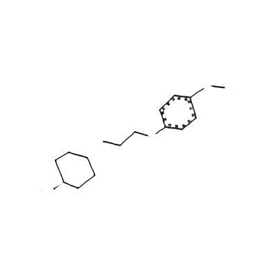 CCCCCCC[C@H]1CC[C@H](CCCOc2ccc(OCCCC)cc2)CC1